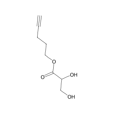 C#CCCCOC(=O)C(O)CO